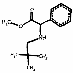 COC(=O)C(NCC(C)(C)C)c1ccccc1